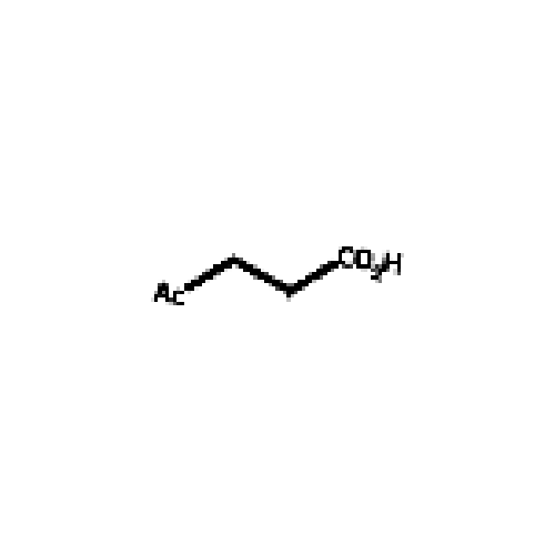 CC(=O)C[CH]C(=O)O